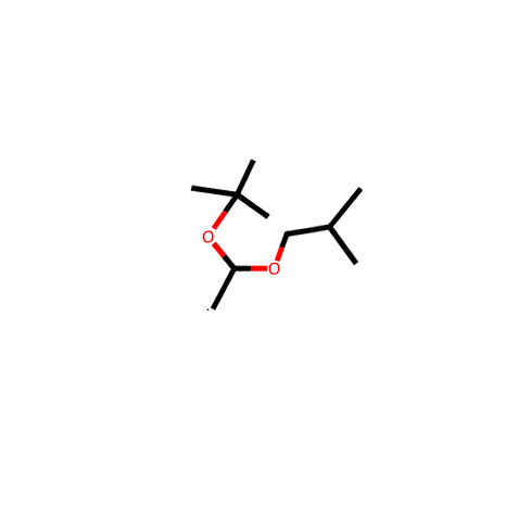 [CH2]C(OCC(C)C)OC(C)(C)C